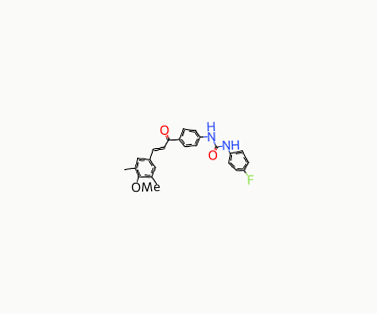 COc1c(C)cc(C=CC(=O)c2ccc(NC(=O)Nc3ccc(F)cc3)cc2)cc1C